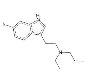 CCCN(CC)CCc1c[nH]c2cc(I)ccc12